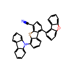 N#Cc1ccc(-c2cccc3oc4ccccc4c23)c2c1sc1c(-n3c4ccccc4c4ccccc43)cccc12